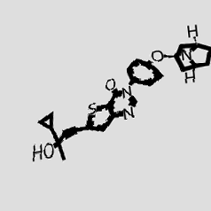 CN1[C@@H]2CC[C@H]1C[C@@H](Oc1ccc(-n3cnc4cc(C#CC(C)(O)C5CC5)sc4c3=O)cc1)C2